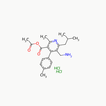 CC(=O)OC(=O)c1c(C)nc(CC(C)C)c(CN)c1-c1ccc(C)cc1.Cl.Cl